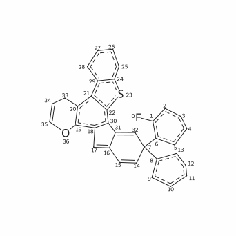 Fc1ccccc1C1(c2ccccc2)C=CC2=Cc3c4c(c5c(sc6ccccc65)c3C2=C1)CC=CO4